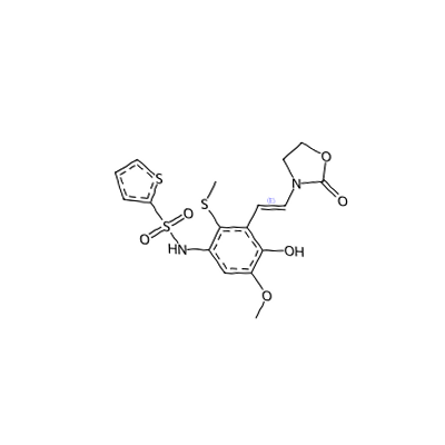 COc1cc(NS(=O)(=O)c2cccs2)c(SC)c(/C=C/N2CCOC2=O)c1O